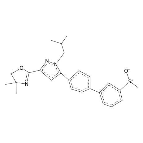 CC(C)Cn1nc(C2=NC(C)(C)CO2)cc1-c1ccc(-c2cccc([S+](C)[O-])c2)cc1